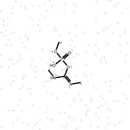 CN=C(NC)OP(=O)(O)OC